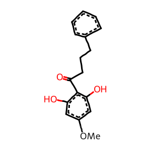 COc1cc(O)c(C(=O)CCCc2ccccc2)c(O)c1